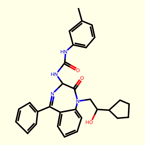 Cc1cccc(NC(=O)NC2N=C(c3ccccc3)c3ccccc3N(CC(O)C3CCCC3)C2=O)c1